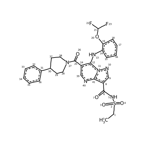 CCS(=O)(=O)NC(=O)c1cnn2c(Nc3ccccc3OC(F)F)c(C(=O)N3CCC(c4ccccc4)CC3)cnc12